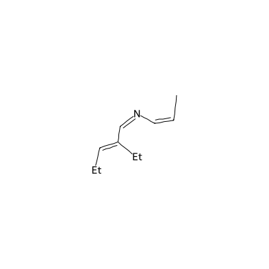 C\C=C/N=C\C(=C\CC)CC